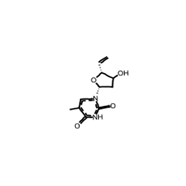 C=C[C@H]1O[C@@H](n2cc(C)c(=O)[nH]c2=O)CC1O